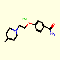 CC1CCN(CCOc2ccc(C(N)=O)cc2)CC1.Cl